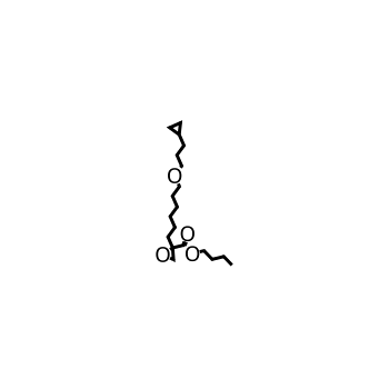 CCCCOC(=O)C1(CCCCCCOCCCC2CC2)CO1